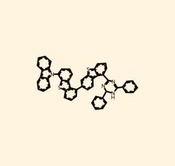 c1ccc(C2=NC(c3cccc4sc5cc(-c6cccc7sc8c(-n9c%10ccccc%10c%10ccccc%109)cccc8c67)ccc5c34)=NC(c3ccccc3)N2)cc1